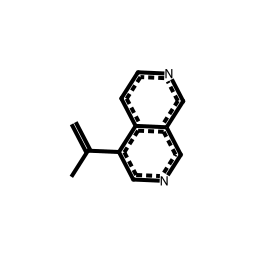 C=C(C)c1cncc2cnccc12